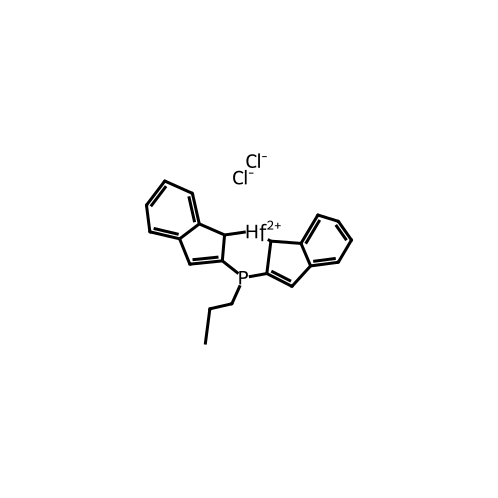 CCCP1C2=Cc3ccccc3[CH]2[Hf+2][CH]2C1=Cc1ccccc12.[Cl-].[Cl-]